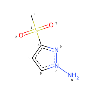 CS(=O)(=O)c1ccn(N)n1